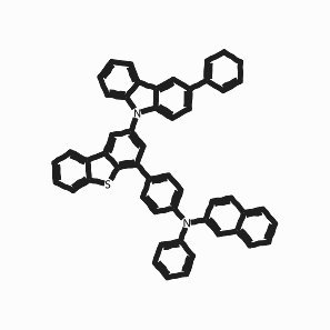 C1=CC(c2ccc3c(c2)c2ccccc2n3-c2cc(-c3ccc(N(c4ccccc4)c4ccc5ccccc5c4)cc3)c3sc4ccccc4c3c2)=CCC1